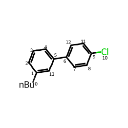 CCCCc1cccc(-c2ccc(Cl)cc2)c1